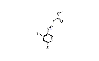 COC(=O)C/C=N/c1ncc(Br)cc1Br